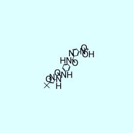 CC(C)(C)c1cc(NC(=O)Nc2ccc(NC(=O)c3cc([N+](=O)O)ccn3)cc2)no1